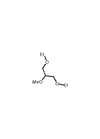 CCOCC(COCC)OC